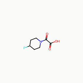 O=C(O)C(=O)N1CCC(F)CC1